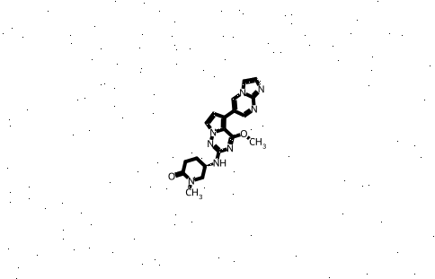 COc1nc(N[C@@H]2CCC(=O)N(C)C2)nn2ccc(-c3cnc4nccn4c3)c12